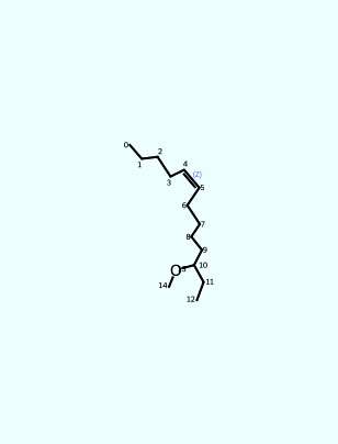 CCCC/C=C\CCCCC(CC)OC